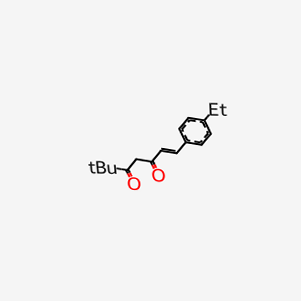 CCc1ccc(C=CC(=O)CC(=O)C(C)(C)C)cc1